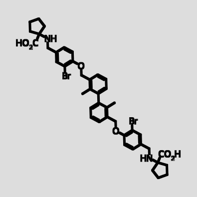 Cc1c(COc2ccc(CNC3(C(=O)O)CCCC3)cc2Br)cccc1-c1cccc(COc2ccc(CNC3(C(=O)O)CCCC3)cc2Br)c1C